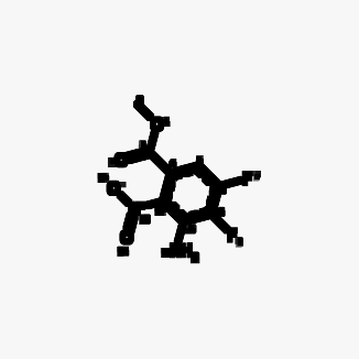 COC(=O)c1cc(F)c(F)c(N)c1[N+](=O)[O-]